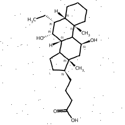 CC[C@H]1[C@@H](O)[C@H]2C3CC[C@H](CCCC(=O)O)[C@@]3(C)C[C@H](O)C2[C@@]2(C)CCCC[C@@H]12